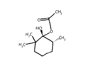 CC(=O)O[C@]1(O)[C@H](C)CCCC1(C)C